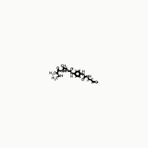 CNC(C)C(=O)NC(C)CNC(=O)Nc1ccc(NC(=O)NCCC=O)cc1